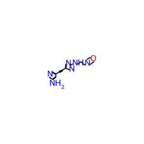 Nc1cncc(C#Cc2cnc(NCCCN3CCOCC3)nc2)c1